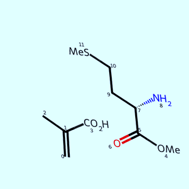 C=C(C)C(=O)O.COC(=O)[C@@H](N)CCSC